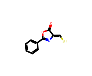 O=C1OC(c2ccccc2)=NC1=CS